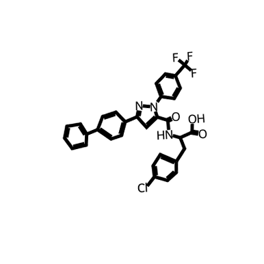 O=C(NC(Cc1ccc(Cl)cc1)C(=O)O)c1cc(-c2ccc(-c3ccccc3)cc2)nn1-c1ccc(C(F)(F)F)cc1